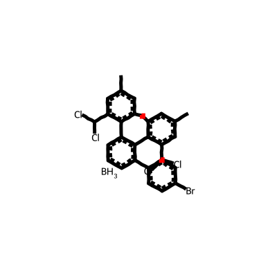 B.Cc1cc(C)c(-c2cccc(-c3ccc(Br)cc3)c2-c2c(C)cc(C)cc2C(Cl)Cl)c(C(Cl)Cl)c1